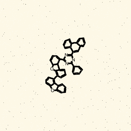 C1=CC2Oc3c(-c4cccc5oc6ccccc6c45)cccc3C2C(c2nc(-c3ccccc3)nc(-c3cc4ccccc4c4ccccc34)n2)=C1